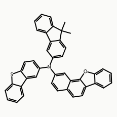 CC1(C)c2ccccc2-c2cc(N(c3ccc4sc5ccccc5c4c3)c3ccc4ccc5c6ccccc6oc5c4c3)ccc21